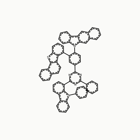 c1ccc(-c2nc(-c3ccc(-n4c5ccccc5c5cc6ccccc6cc54)c(-c4cccc5sc6c7ccccc7ccc6c45)c3)nc(-c3cccc4c5ccccc5n(-c5ccccc5)c34)n2)cc1